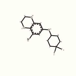 FC1(F)CCC(Oc2cc(Br)c3c(c2)OCCO3)CC1